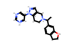 CC(c1ccc2c(c1)OCC2)N1CCc2c(cnn2-c2cncnc2)C1